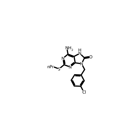 CCCSc1nc(N)c2[nH]c(=O)n(Cc3cccc(Cl)c3)c2n1